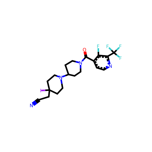 N#CCC1(I)CCN(C2CCN(C(=O)c3ccnc(C(F)(F)F)c3F)CC2)CC1